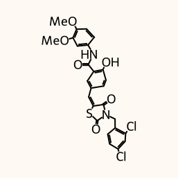 COc1ccc(NC(=O)c2cc(/C=C3/SC(=O)N(Cc4ccc(Cl)cc4Cl)C3=O)ccc2O)cc1OC